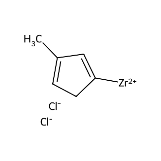 CC1=CC[C]([Zr+2])=C1.[Cl-].[Cl-]